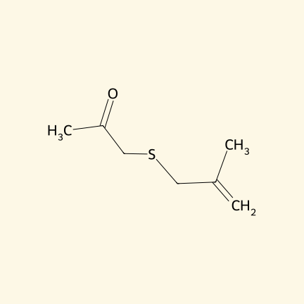 C=C(C)CSCC(C)=O